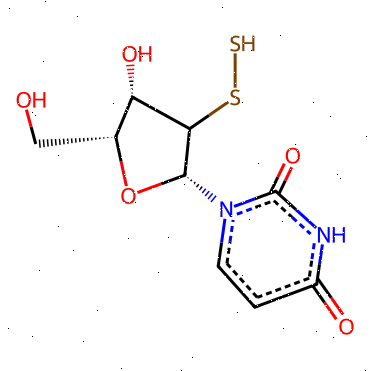 O=c1ccn([C@@H]2O[C@H](CO)[C@H](O)C2SS)c(=O)[nH]1